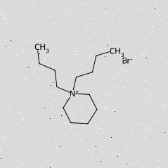 CCCC[N+]1(CCCC)CCCCC1.[Br-]